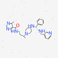 Cc1ncnc(C)c1C(=O)NCCC(C)N1CCC(N[C@@H](CNCc2cccnc2)c2ccccc2)CC1